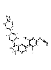 CN1CCN(c2ncc(-c3n[nH]c4cnc(-c5c(F)cc(CC#N)cc5F)cc34)cn2)CC1